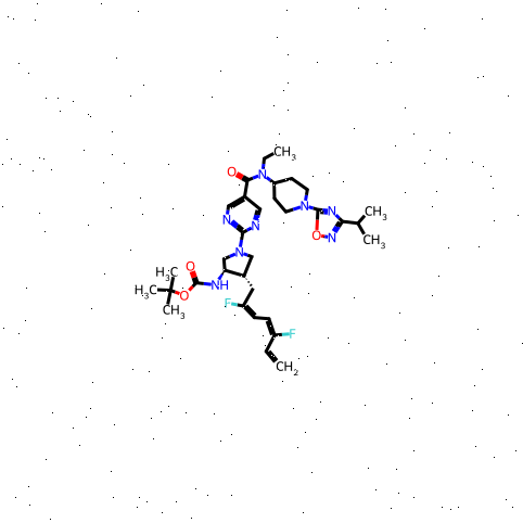 C=C/C(F)=C\C=C(\F)C[C@H]1CN(c2ncc(C(=O)N(CC)C3CCN(c4nc(C(C)C)no4)CC3)cn2)C[C@@H]1NC(=O)OC(C)(C)C